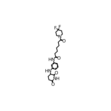 O=C1CCC(Nc2cccc(NC(=O)CCCCCC(=O)N3CCC(F)(F)CC3)c2)C(=O)N1